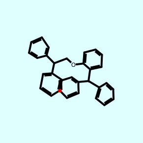 c1ccc([C](c2ccccc2)c2ccccc2OCC(c2ccccc2)c2ccccc2)cc1